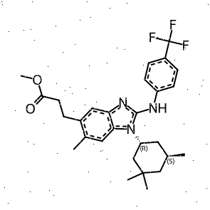 COC(=O)CCc1cc2nc(Nc3ccc(C(F)(F)F)cc3)n([C@@H]3C[C@@H](C)CC(C)(C)C3)c2cc1C